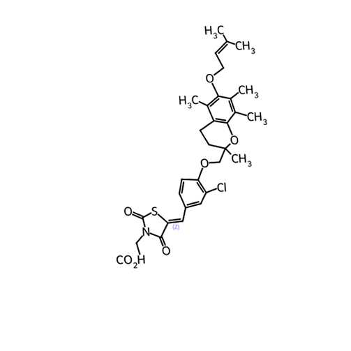 CC(C)=CCOc1c(C)c(C)c2c(c1C)CCC(C)(COc1ccc(/C=C3\SC(=O)N(CC(=O)O)C3=O)cc1Cl)O2